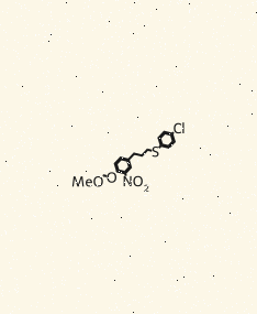 COCOc1ccc(CCCSc2ccc(Cl)cc2)cc1[N+](=O)[O-]